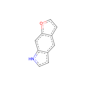 c1cc2cc3ccoc3cc2[nH]1